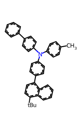 Cc1ccc(N(c2ccc(-c3ccccc3)cc2)c2ccc(-c3ccc(C(C)(C)C)c4ccccc34)cc2)cc1